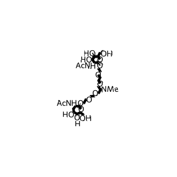 CNC(COCCOCCO[C@@H]1OC(CO)[C@H](O)C(O)CC1NC(C)=O)COCCOCCO[C@@H]1OC(CO)[C@H](O)C(O)C1NC(C)=O